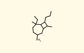 CCCC1C(C)C2CC(P)CCC(C)(CC)C12